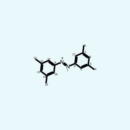 Cc1cc(C)cc(/N=N/c2cc(C)cc(C)c2)c1